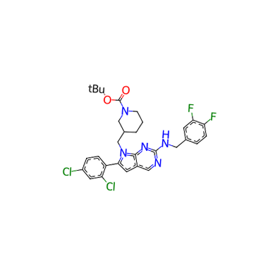 CC(C)(C)OC(=O)N1CCCC(Cn2c(-c3ccc(Cl)cc3Cl)cc3cnc(NCc4ccc(F)c(F)c4)nc32)C1